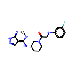 CN/C(N[C@H]1CCCN(C(=O)CNc2cccc(F)c2)C1)=C1/C=NNC1=N